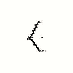 CCCCCCCCCCCCCCCCCCNC(=S)SCCCCCCCCCCCCCCCCCC.[Zn]